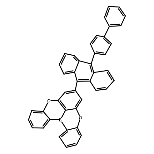 c1ccc(-c2ccc(-c3c4ccccc4c(-c4cc5c6c(c4)Oc4ccccc4B6c4ccccc4O5)c4ccccc34)cc2)cc1